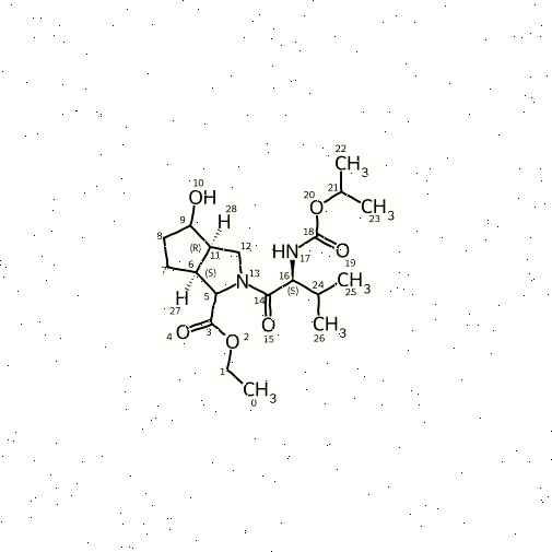 CCOC(=O)C1[C@H]2CCC(O)[C@H]2CN1C(=O)[C@@H](NC(=O)OC(C)C)C(C)C